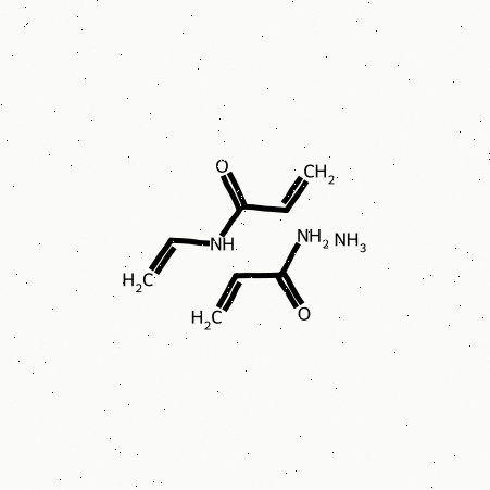 C=CC(N)=O.C=CNC(=O)C=C.N